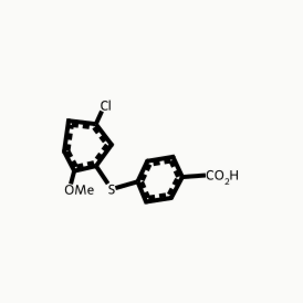 COc1ccc(Cl)cc1Sc1ccc(C(=O)O)cc1